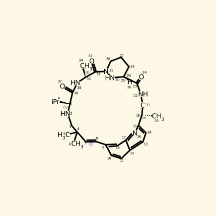 CC(C)[C@@H]1NCC(C)(C)/C=C/c2ccc3ccc(nc3c2)[C@@H](C)CNC(=O)[C@@H]2CCCN(N2)C(=O)[C@H](C)NC1=O